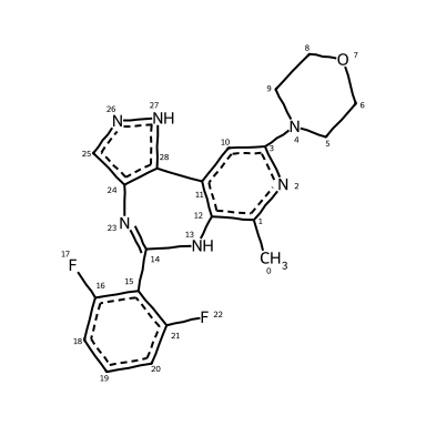 Cc1nc(N2CCOCC2)cc2c1NC(c1c(F)cccc1F)=Nc1cn[nH]c1-2